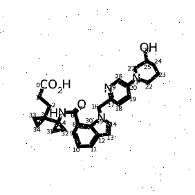 O=C(O)CCC1(C2(NC(=O)c3cccc4ccn(Cc5ccc(N6CCCC(O)C6)cn5)c34)CC2)CC1